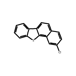 Clc1ccc2ccc3c4ccccc4sc3c2c1